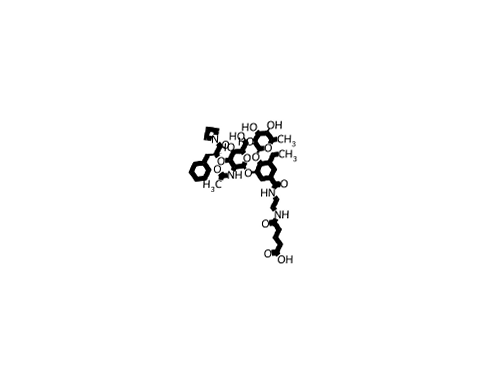 CCC1CC(C(=O)NCCNC(=O)CCCC(=O)O)C[C@@H](O[C@@H]2OC(CO)[C@H](O)C(O[C@@H](CC3CCCCC3)C(=O)N3CCC3)C2NC(C)=O)C1O[C@@H]1OC(C)[C@@H](O)C(O)C1O